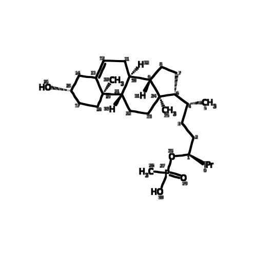 CC(C)[C@H](CC[C@@H](C)[C@H]1CC[C@H]2[C@@H]3CC=C4C[C@@H](O)CC[C@]4(C)[C@H]3CC[C@]12C)OP(C)(=O)O